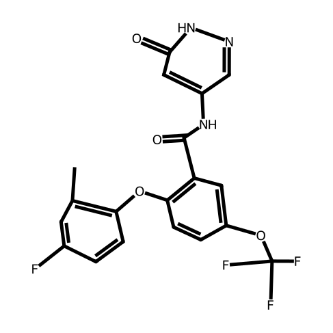 Cc1cc(F)ccc1Oc1ccc(OC(F)(F)F)cc1C(=O)Nc1cn[nH]c(=O)c1